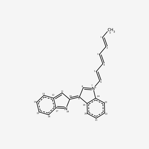 CC=CC=CC=C[N+]1=CC(=C2C=c3ccccc3=N2)c2ccccc21